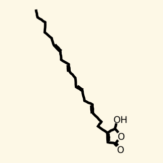 CCCCCC=CCC=CCC=CCC=CCCC1=CC(=O)OC1O